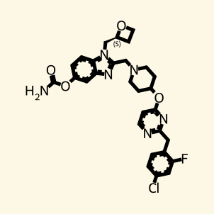 NC(=O)Oc1ccc2c(c1)nc(CN1CCC(Oc3ccnc(Cc4ccc(Cl)cc4F)n3)CC1)n2C[C@@H]1CCO1